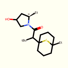 CC[C@@H]1CC(O)CN1C(=O)C(C(C)(C)C)C12CCCC(CC)(CCC1)S2